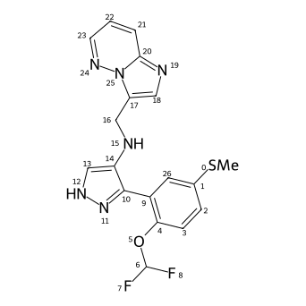 CSc1ccc(OC(F)F)c(-c2n[nH]cc2NCc2cnc3cccnn23)c1